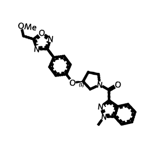 COCc1nc(-c2ccc(O[C@H]3CCN(C(=O)c4nn(C)c5ccccc45)C3)cc2)no1